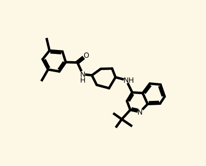 Cc1cc(C)cc(C(=O)NC2CCC(Nc3cc(C(C)(C)C)nc4ccccc34)CC2)c1